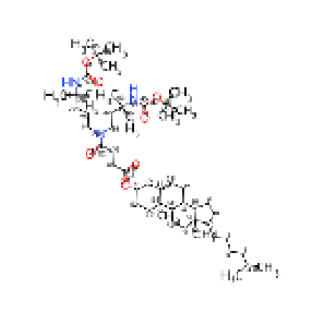 CC(C)CCCCC1CCC2C3CC=C4CC(OC(=O)CCC(=O)N(CCCC(C)(C)NC(=O)OC(C)(C)C)CCC(C)(C)NC(=O)OC(C)(C)C)CCC4(C)C3CCC12C